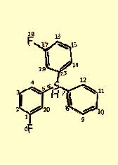 Fc1cccc([SH](c2ccccc2)c2cccc(F)c2)c1